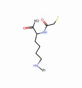 CC(C)NCCCCC(NC(=O)CF)C(=O)N=O